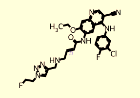 CCOc1cc2ncc(C#N)c(Nc3ccc(F)c(Cl)c3)c2cc1NC(=O)/C=C/CNCc1cn(CCF)nn1